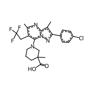 Cc1nc2c(C)c(-c3ccc(Cl)cc3)nn2c(N2CCCC(C)(C(=O)O)C2)c1CC(F)(F)F